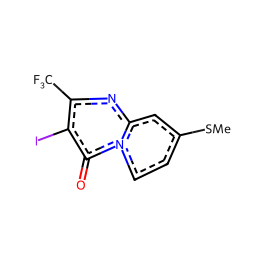 CSc1ccn2c(=O)c(I)c(C(F)(F)F)nc2c1